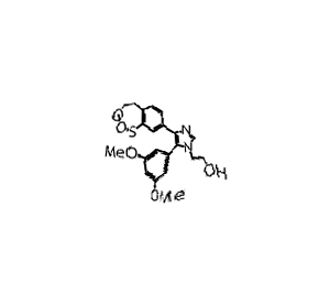 COc1cc(OC)cc(-c2c(-c3ccc4c(c3)SOOCC4)ncn2CCO)c1